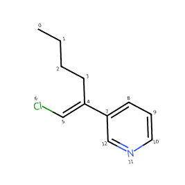 CCCCC(=CCl)c1cccnc1